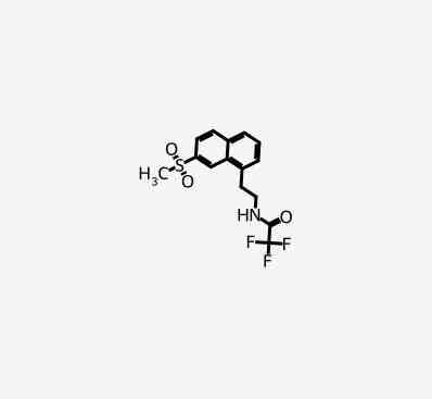 CS(=O)(=O)c1ccc2cccc(CCNC(=O)C(F)(F)F)c2c1